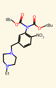 CCN1CCN(Cc2ccc([N+](=O)[O-])c(N(C(=O)OC(C)(C)C)C(=O)OC(C)(C)C)c2)CC1